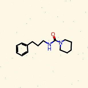 O=C(NCCCc1ccccc1)N1CCCCC1